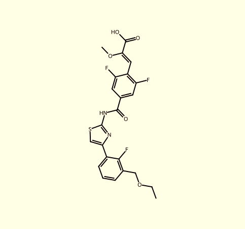 CCOCc1cccc(-c2csc(NC(=O)c3cc(F)c(/C=C(\OC)C(=O)O)c(F)c3)n2)c1F